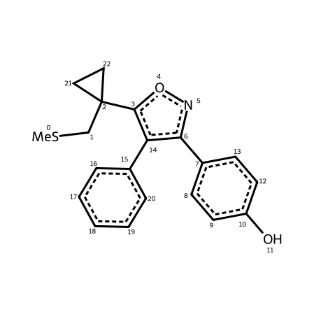 CSCC1(c2onc(-c3ccc(O)cc3)c2-c2ccccc2)CC1